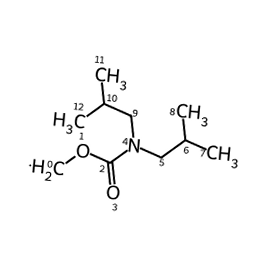 [CH2]OC(=O)N(CC(C)C)CC(C)C